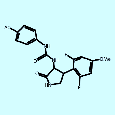 COc1cc(F)c(C2CNC(=O)C2NC(=O)Nc2ccc(C(C)=O)cc2)c(F)c1